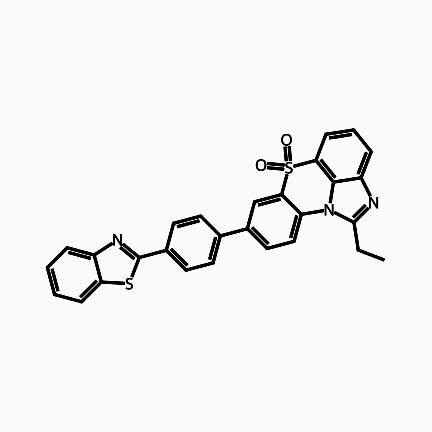 CCc1nc2cccc3c2n1-c1ccc(-c2ccc(-c4nc5ccccc5s4)cc2)cc1S3(=O)=O